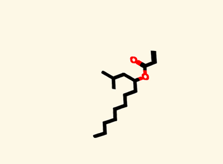 C=CC(=O)OC(CCCCCCCC)CC(C)C